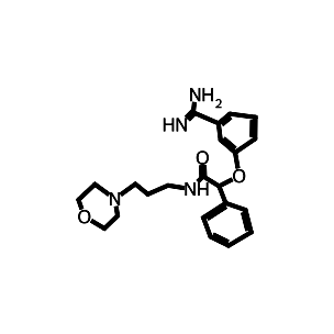 N=C(N)c1cccc(OC(C(=O)NCCCN2CCOCC2)c2ccccc2)c1